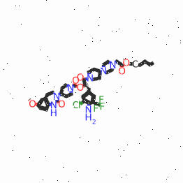 CCCCCCOC(=O)CN1CCN(C2CCN(C(=O)[C@@H](Cc3cc(Cl)c(N)c(C(F)(F)F)c3)OC(=O)N3CCC(N4CCc5cc(OC)ccc5NC4=O)CC3)CC2)CC1